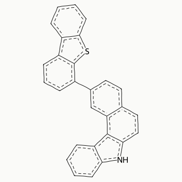 c1ccc2c(c1)[nH]c1ccc3ccc(-c4cccc5c4sc4ccccc45)cc3c12